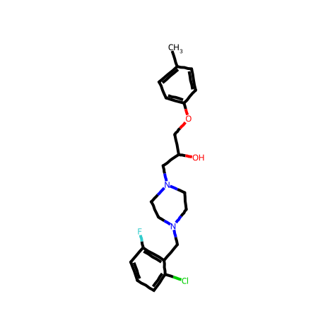 Cc1ccc(OCC(O)CN2CCN(Cc3c(F)cccc3Cl)CC2)cc1